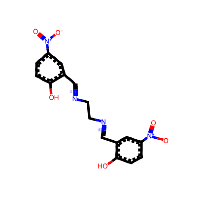 O=[N+]([O-])c1ccc(O)c(/C=N/CC/N=C/c2cc([N+](=O)[O-])ccc2O)c1